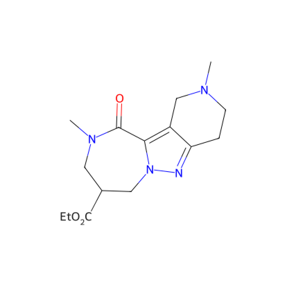 CCOC(=O)C1CN(C)C(=O)c2c3c(nn2C1)CCN(C)C3